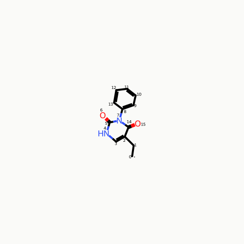 [CH2]Cc1c[nH]c(=O)n(-c2ccccc2)c1=O